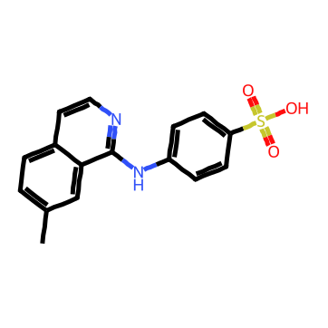 Cc1ccc2ccnc(Nc3ccc(S(=O)(=O)O)cc3)c2c1